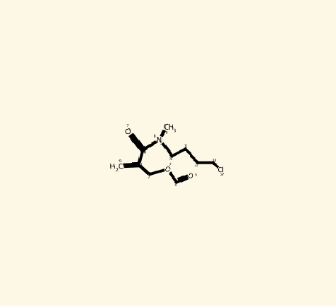 C=C(COC=O)C(=O)N(C)CCCCCl